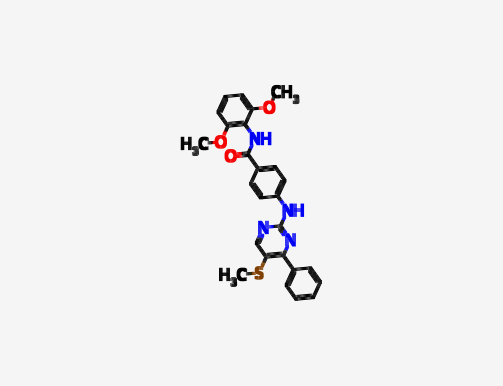 COc1cccc(OC)c1NC(=O)c1ccc(Nc2ncc(SC)c(-c3ccccc3)n2)cc1